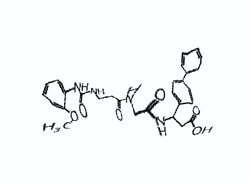 COc1ccccc1NC(=O)NCCC(=O)NCC(=O)NC(CC(=O)O)c1ccc(-c2ccccc2)cc1